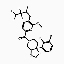 COc1nc(C(=O)N2CC[C@]3(c4cccc(F)c4F)OCOC3C2)ccc1OC(C)C(F)(F)C(F)F